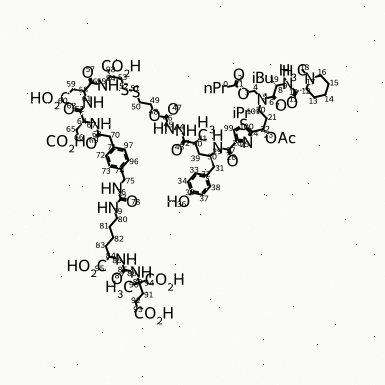 CCCC(=O)OCN(C(=O)[C@@H](NC(=O)[C@H]1CCCCN1C)C(C)CC)[C@H](C[C@@H](OC(C)=O)c1nc(C(=O)N[C@@H](Cc2ccc(O)cc2)C[C@H](C)C(=O)NNC(=O)OCCSSC[C@H](NC(=O)[C@H](CC(=O)O)NC(=O)[C@H](CC(=O)O)NC(=O)Cc2ccc(CNC(=O)NCCCC[C@@H](NC(=O)NC(C)(CCC(=O)O)C(=O)O)C(=O)O)cc2)C(=O)O)cs1)C(C)C